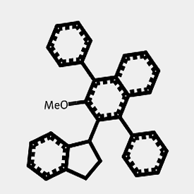 COc1c(C2CCc3ccccc32)c(-c2ccccc2)c2ccccc2c1-c1ccccc1